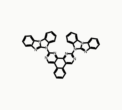 c1ccc2c(c1)nc1n(-c3ncc4c5ccccc5c5cnc(-n6c7ccccc7n7c8ccccc8nc67)nc5c4n3)c3ccccc3n21